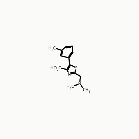 Cc1cccc(-c2sc(CN(C)C)nc2C(=O)O)c1